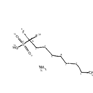 CCCCCCCCC(F)(F)S(=O)(=O)O.N